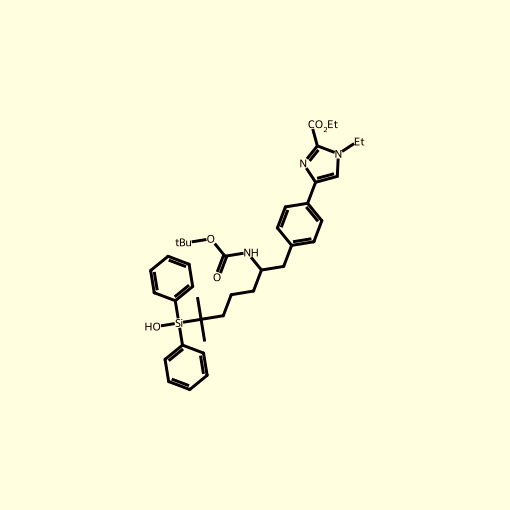 CCOC(=O)c1nc(-c2ccc(CC(CCCC(C)(C)[Si](O)(c3ccccc3)c3ccccc3)NC(=O)OC(C)(C)C)cc2)cn1CC